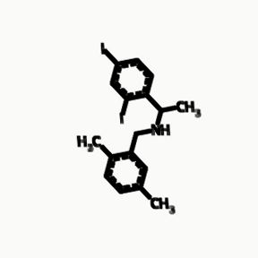 Cc1ccc(C)c(CNC(C)c2ccc(I)cc2I)c1